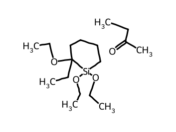 CCC(C)=O.CCOC1(CC)CCCC[Si]1(OCC)OCC